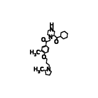 Cc1cc(C(=O)CN2CCNCC2C(=O)C2CCCCC2)ccc1OCCCN1CCCC1C